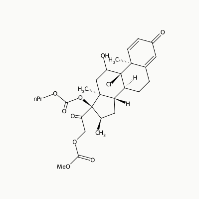 CCCOC(=O)O[C@]1(C(=O)COC(=O)OC)[C@H](C)C[C@H]2[C@@H]3CCC4=CC(=O)C=C[C@]4(C)[C@@]3(Cl)C(O)C[C@@]21C